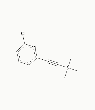 C[Si](C)(C)C#Cc1cccc(Cl)n1